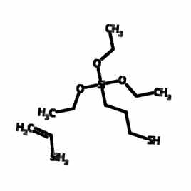 C=C[SiH3].CCO[Si](CCCS)(OCC)OCC